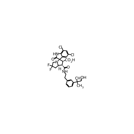 CC(C)(CO)c1cccc(CCNC(=O)[C@H]2[C@H]3CC(F)(F)CN3[C@]3(C(=O)Nc4c(Cl)cc(Cl)cc43)[C@H]2C(=O)O)c1